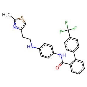 Cc1nc(CCNc2ccc(NC(=O)c3ccccc3-c3ccc(C(F)(F)F)cc3)cc2)cs1